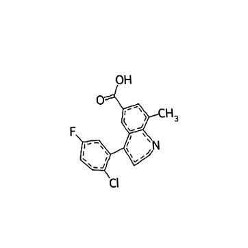 Cc1cc(C(=O)O)cc2c(-c3cc(F)ccc3Cl)ccnc12